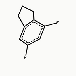 Fc1[c]c(F)c2c(c1)CCC2